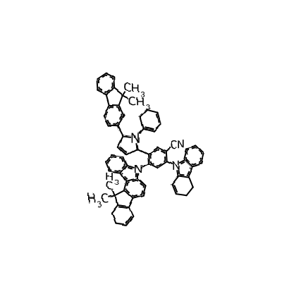 CC1(C)C2=C(C=CCC2)c2ccc3c(c21)c1ccccc1n3-c1cc(-n2c3c(c4ccccc42)CCC=C3)c(C#N)cc1C1C=CC(c2ccc3c(c2)C(C)(C)c2ccccc2-3)N1C1=CC=CCC1